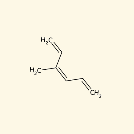 C=C/C=C(/C)C=C